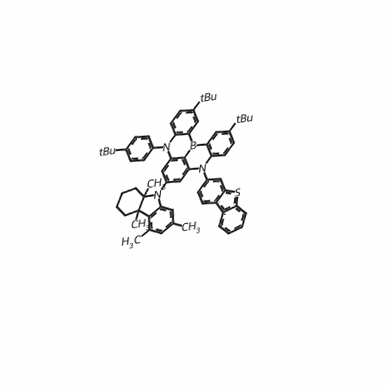 Cc1cc(C)c2c(c1)N(c1cc3c4c(c1)N(c1ccc5c(c1)sc1ccccc15)c1ccc(C(C)(C)C)cc1B4c1cc(C(C)(C)C)ccc1N3c1ccc(C(C)(C)C)cc1)C1(C)CCCCC21C